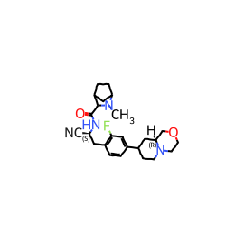 CN1C2CCC(C2)C1C(=O)N[C@H](C#N)Cc1ccc(C2CCN3CCOC[C@H]3C2)cc1F